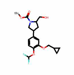 CC(C)(C)OC(=O)N1CC(c2ccc(OC(F)F)c(OCC3CC3)c2)CC1CO